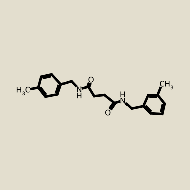 Cc1ccc(CNC(=O)CCC(=O)NCc2cccc(C)c2)cc1